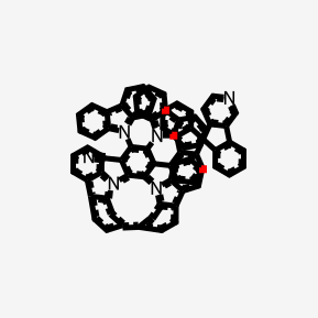 N#Cc1c(-n2c3ccccc3c3ccccc32)c(-n2c3ccccc3c3ccccc32)c(-c2cccc3c2-c2ccccc2C32c3ccccc3-c3cnccc32)c2c1n1c3ccccc3c3ccc(cc31)c1ccc3c4ccccc4n2c3c1